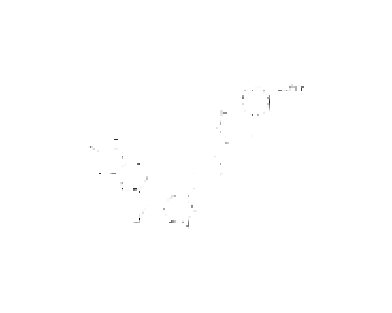 C=C1Nc2c(C)cc(C(=O)c3cnnc(N4CCC(N5CCc6cc(OC)ccc6NC5=O)CC4)c3)cc2O1